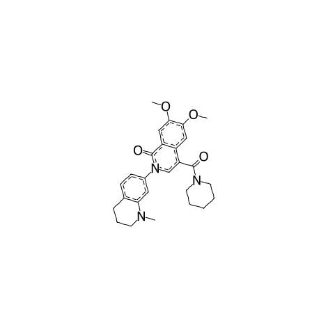 COc1cc2c(C(=O)N3CCCCC3)cn(-c3ccc4c(c3)N(C)CCC4)c(=O)c2cc1OC